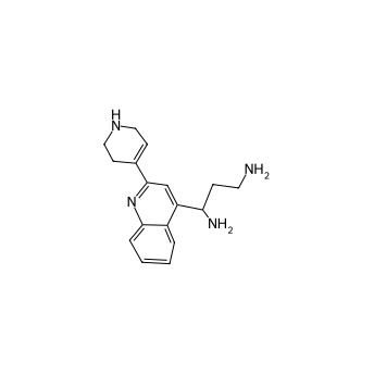 NCCC(N)c1cc(C2=CCNCC2)nc2ccccc12